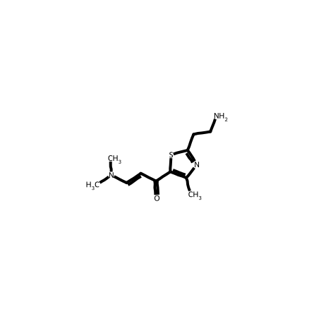 Cc1nc(CCN)sc1C(=O)C=CN(C)C